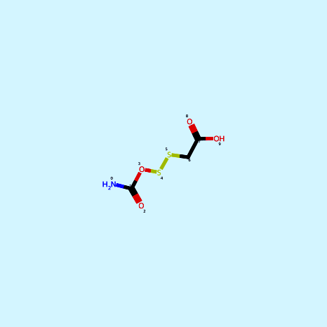 NC(=O)OSSCC(=O)O